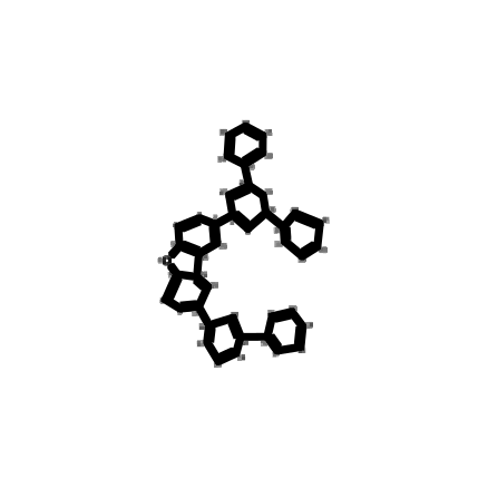 C1=C(c2ccc3oc4ccc(-c5cccc(-c6ccccc6)c5)cc4c3c2)C=C(c2ccccc2)CC1c1ccccc1